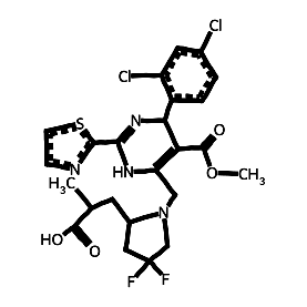 COC(=O)C1=C(CN2CC(F)(F)CC2CC(C)C(=O)O)NC(c2nccs2)=NC1c1ccc(Cl)cc1Cl